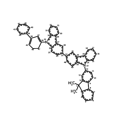 CC1(C)c2ccccc2-c2ccc(-n3c4ccccc4c4cc(-c5ccc6c(c5)c5ccccc5n6C5=CC(c6ccccc6)=CCC5)ccc43)cc21